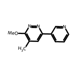 COc1nnc(-c2cccnc2)cc1C